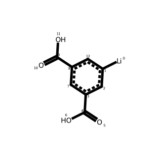 [Li][c]1cc(C(=O)O)cc(C(=O)O)c1